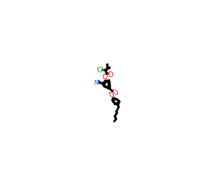 CCCCCCc1ccc(OC(=O)c2ccc(OC(=O)C(Cl)C(C)C)c(C#N)c2)cc1